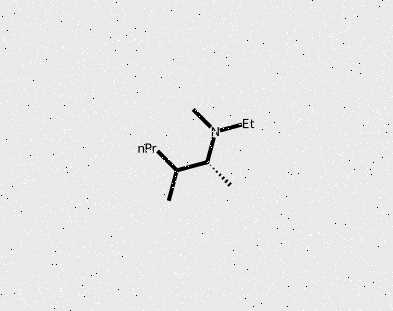 CCCC(C)[C@@H](C)N(C)CC